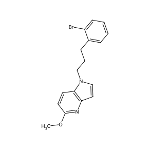 COc1ccc2c(ccn2CCCc2ccccc2Br)n1